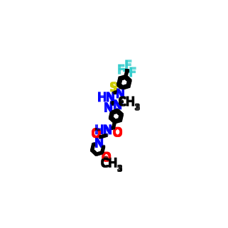 COC1CCCN(C(=O)CNC(=O)c2ccc3c(c2)nc(Nc2nc4ccc(C(F)(F)F)cc4s2)n3C)C1